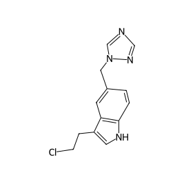 ClCCc1c[nH]c2ccc(Cn3cncn3)cc12